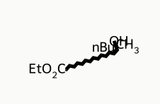 CCCCC(C)(O)/C=C\CCCCCCCCCCCCC(=O)OCC